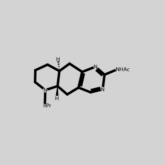 CCCN1CCC[C@H]2Cc3nc(NC(C)=O)ncc3C[C@@H]21